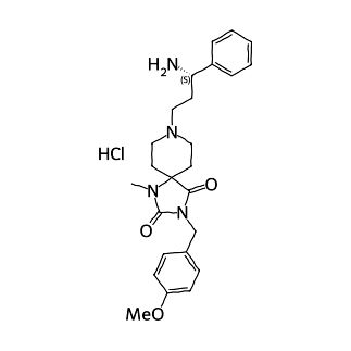 COc1ccc(CN2C(=O)N(C)C3(CCN(CC[C@H](N)c4ccccc4)CC3)C2=O)cc1.Cl